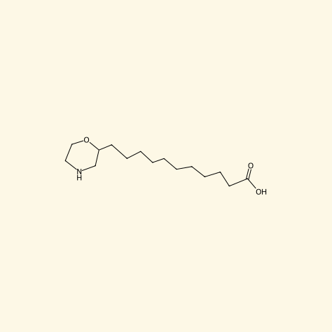 O=C(O)CCCCCCCCCCC1CNCCO1